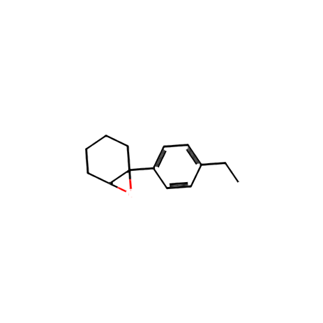 CCc1ccc(C23CCCCC2O3)cc1